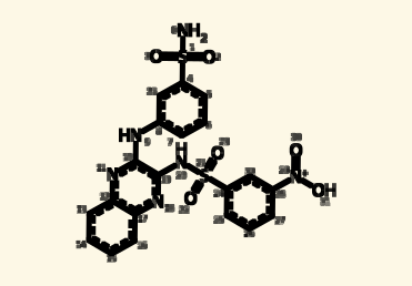 NS(=O)(=O)c1cccc(Nc2nc3ccccc3nc2NS(=O)(=O)c2cccc([N+](=O)O)c2)c1